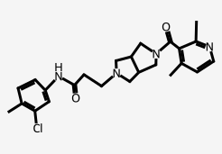 Cc1ccc(NC(=O)CCN2CC3CN(C(=O)c4c(C)ccnc4C)CC3C2)cc1Cl